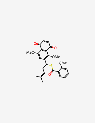 COc1ccccc1C(=O)SC(CC=C(C)C)c1cc(OC)c2c(c1OC)C(=O)C=CC2=O